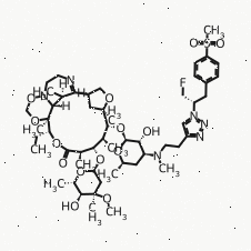 CC[C@H]1OC(=O)[C@H](C)[C@@H](O[C@H]2C[C@@](C)(OC)[C@@H](O)[C@H](C)O2)[C@H](C)[C@@H](O[C@@H]2O[C@H](C)C[C@H](N(C)CCc3cn([C@H](CF)Cc4ccc(S(C)(=O)=O)cc4)nn3)[C@H]2O)[C@@]2(C)C[C@@H](CO2)C2=NCCN3OCO[C@@]1(C)[C@H]3[C@H]2C